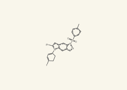 Cc1ccc(S(=O)(=O)n2ncc3cc4c(cc(C(C)C)n4C4=CC=C(F)CC4)cc32)cc1